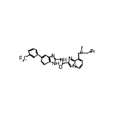 CC(C)CN(C)Cc1cccn2cc(C(=O)Nc3nc4cc(-c5cccc(C(F)(F)F)c5)ccc4[nH]3)nc12